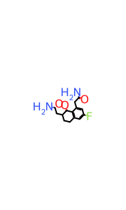 NC(=O)Cc1cc(F)cc2c1C(=O)C(CC(N)=O)CC2